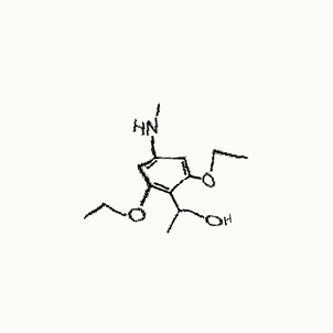 CCOc1cc(NC)cc(OCC)c1C(C)O